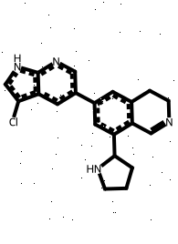 Clc1c[nH]c2ncc(-c3cc4c(c(C5CCCN5)c3)C=NCC4)cc12